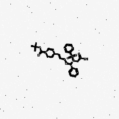 CC(C)(C)OC(=O)N1CCC(CCCOC(c2ccccc2)N(CC(=O)O)S(=O)(=O)c2ccccc2)CC1